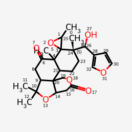 CC1OC12C1(C)C(=O)CC3C(C)(C)OC4CC(=O)OCC43C1CC[C@@]2(C)[C@@H](O)c1ccoc1